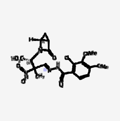 COc1ccc(C(=O)N/N=C/C(C)([C@H](C(=O)O)N2C(=O)C3C[C@H]32)[SH](=O)=O)c(Cl)c1OC